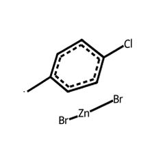 [Br][Zn][Br].[CH2]c1ccc(Cl)cc1